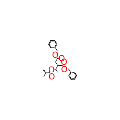 C=C(C)C(=O)OC(C)C(CC(=O)OCc1ccccc1)C(=O)OCc1ccccc1